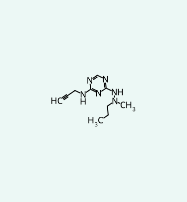 C#CCNc1ncnc(NN(C)CCC)n1